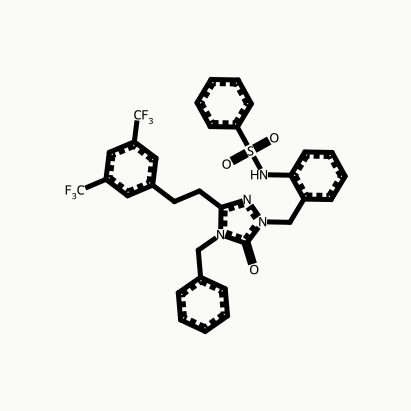 O=c1n(Cc2ccccc2NS(=O)(=O)c2ccccc2)nc(CCc2cc(C(F)(F)F)cc(C(F)(F)F)c2)n1Cc1ccccc1